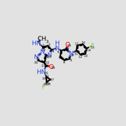 CNc1cc(Nc2cccn(-c3ccc(F)cc3)c2=O)nc2c(C(=O)N[C@H]3C[C@H]3F)cnn12